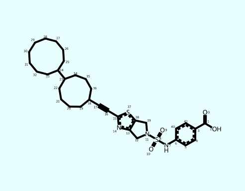 O=C(O)c1ccc(NS(=O)(=O)N2Cc3nc(C#CC4CCCCC(C5CCCCCCCCC5)CCC4)sc3C2)cc1